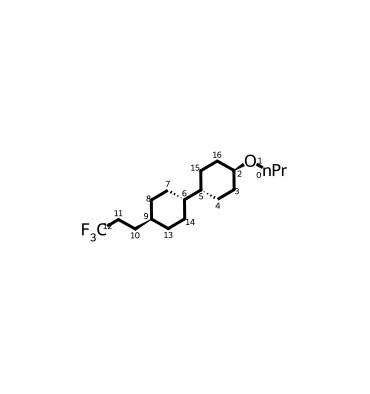 CCCO[C@H]1CC[C@H]([C@H]2CC[C@H](CCC(F)(F)F)CC2)CC1